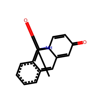 O=C1C=CC23CNC(=O)CC2=c2ccccc2=CC3=C1